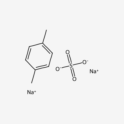 Cc1ccc(C)cc1.O=S(=O)([O-])[O-].[Na+].[Na+]